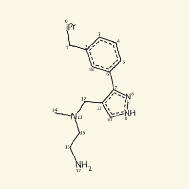 CC(C)Cc1cccc(-c2n[nH]cc2CN(C)CCN)c1